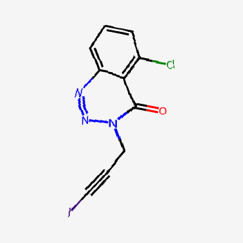 O=c1c2c(Cl)cccc2nnn1CC#CI